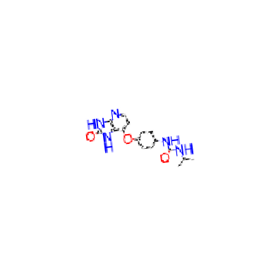 CC(C)NC(=O)Nc1ccc(Oc2ccnc3[nH]c(=O)[nH]c23)cc1